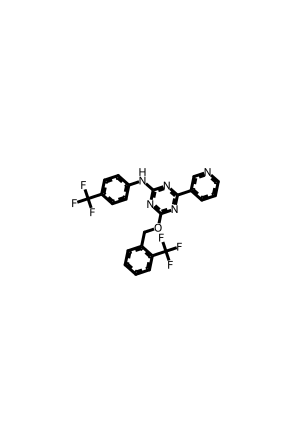 FC(F)(F)c1ccc(Nc2nc(OCc3ccccc3C(F)(F)F)nc(-c3cccnc3)n2)cc1